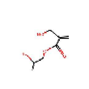 C=C(CO)C(=O)OCC(C)O